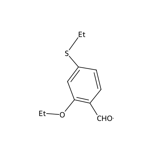 CCOc1cc(SCC)ccc1[C]=O